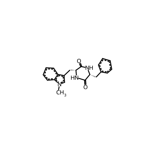 Cn1cc(C[C@H]2NC(=O)[C@@H](Cc3ccccc3)NC2=O)c2ccccc21